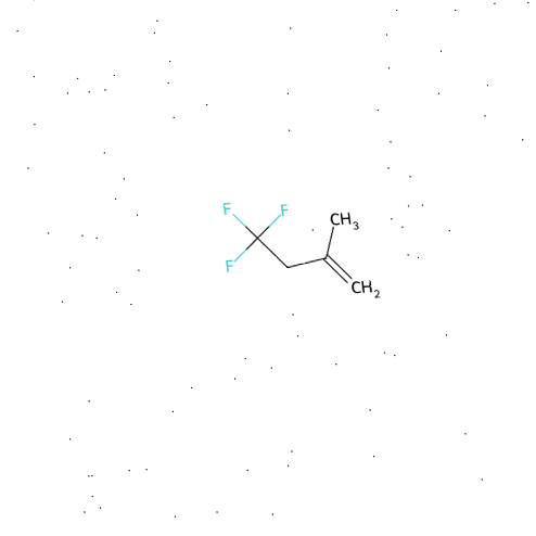 C=C(C)CC(F)(F)F